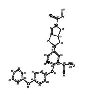 C=CC(=O)N1C=C2CN(c3cnc(Oc4ccc(Oc5ccccc5)cc4)c(C(N)=O)c3)CC2C1